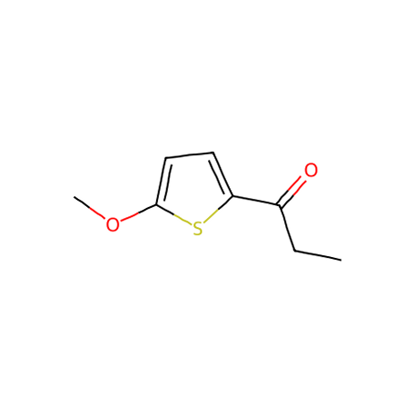 CCC(=O)c1ccc(OC)s1